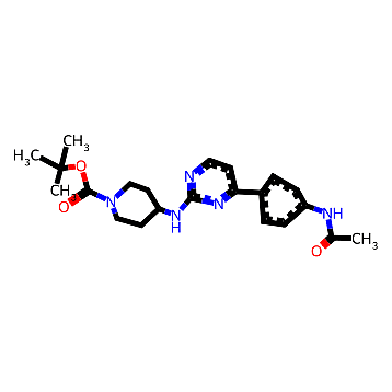 CC(=O)Nc1ccc(-c2ccnc(NC3CCN(C(=O)OC(C)(C)C)CC3)n2)cc1